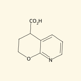 O=C(O)C1CCOc2ncccc21